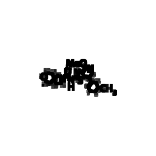 COc1ncc(C2=CCCC(C)C2)c2sc(NC(=O)N3CCC4(CCOCC4)C3)nc12